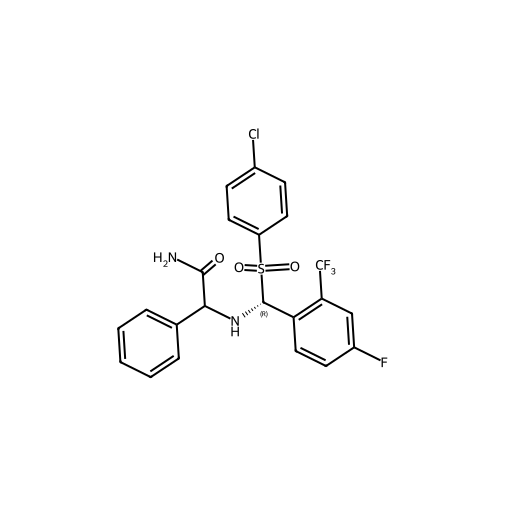 NC(=O)C(N[C@@H](c1ccc(F)cc1C(F)(F)F)S(=O)(=O)c1ccc(Cl)cc1)c1ccccc1